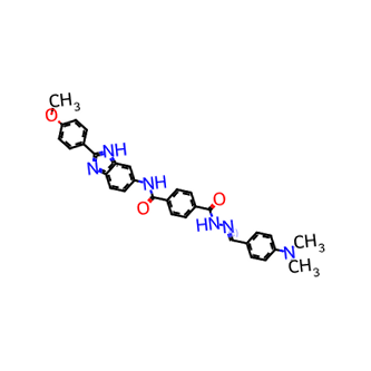 COc1ccc(-c2nc3ccc(NC(=O)c4ccc(C(=O)N/N=C/c5ccc(N(C)C)cc5)cc4)cc3[nH]2)cc1